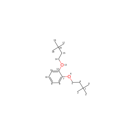 CC(C)(C)CCOc1ccccc1OCCC(C)(C)C